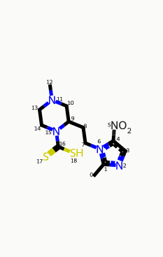 Cc1ncc([N+](=O)[O-])n1CCC1CN(C)CCN1C(=S)S